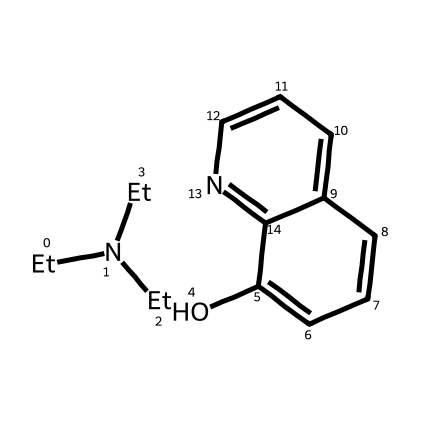 CCN(CC)CC.Oc1cccc2cccnc12